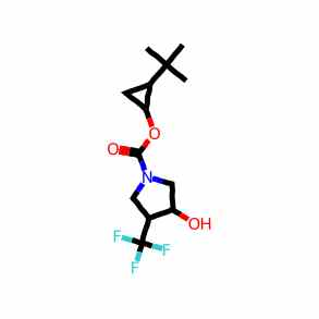 CC(C)(C)C1CC1OC(=O)N1CC(O)C(C(F)(F)F)C1